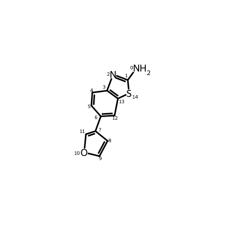 Nc1nc2ccc(-c3ccoc3)cc2s1